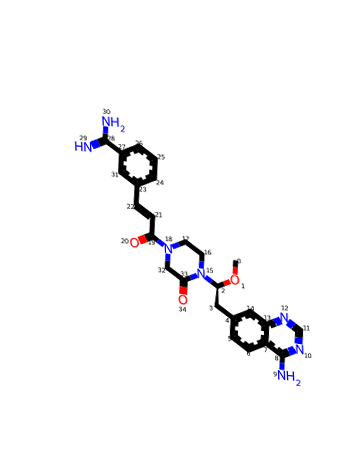 CO[C@@H](Cc1ccc2c(N)ncnc2c1)N1CCN(C(=O)C=Cc2cccc(C(=N)N)c2)CC1=O